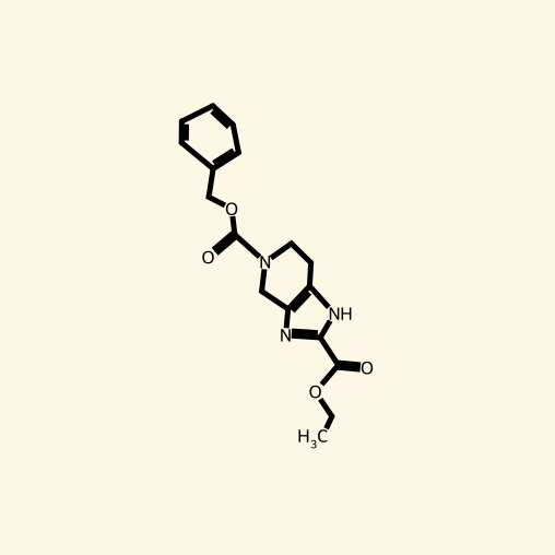 CCOC(=O)c1nc2c([nH]1)CCN(C(=O)OCc1ccccc1)C2